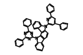 c1ccc(-c2cc(-c3ccccc3)nc(-n3c4ccccc4c4c3ccc3c5ccccc5n(-c5nc(-c6ccccc6)nc(-c6ccccc6)n5)c34)c2)cc1